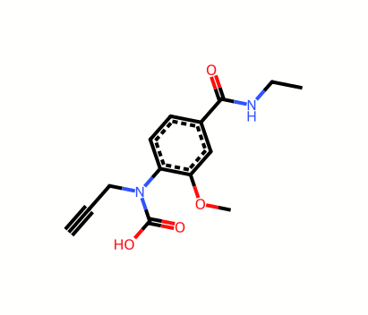 C#CCN(C(=O)O)c1ccc(C(=O)NCC)cc1OC